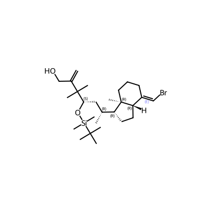 C=C(CO)C(C)(C)[C@H](C[C@@H](C)[C@H]1CC[C@H]2/C(=C/Br)CCC[C@]12C)O[Si](C)(C)C(C)(C)C